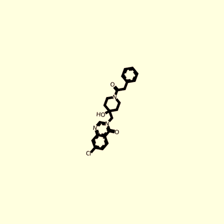 O=C(Cc1ccccc1)N1CCC(O)(Cn2cnc3cc(Cl)ccc3c2=O)CC1